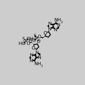 Nc1ncnc2c1ncn2[C@H]1CC[C@@H](COP(O)(=S)O[C@@H]2C[C@H](n3cnc4c(N)ncnc43)O[C@@H]2COP(O)(O)=S)O1